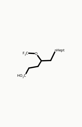 CCCCCCCCC(CCC(=O)O)OC(F)(F)F